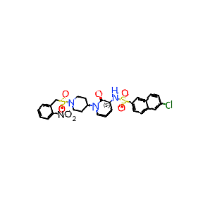 O=C1[C@@H](NS(=O)(=O)c2ccc3cc(Cl)ccc3c2)CCCN1C1CCN(S(=O)(=O)Cc2ccccc2[N+](=O)[O-])CC1